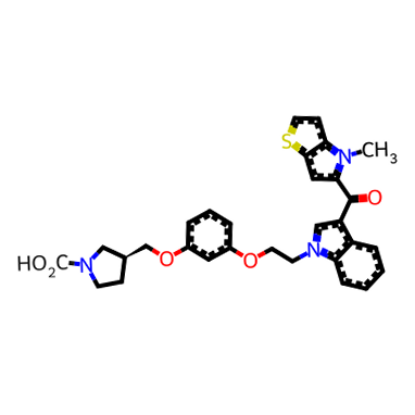 Cn1c(C(=O)c2cn(CCOc3cccc(OC[C@H]4CCN(C(=O)O)C4)c3)c3ccccc23)cc2sccc21